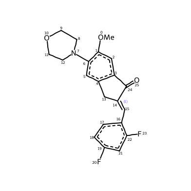 COc1cc2c(cc1N1CCOCC1)C/C(=C\c1ccc(F)cc1F)C2=O